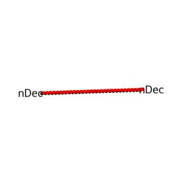 CCCCCCCCCCCCCCCCCCCCCCCCCCCCCCCCCCCCCCCCCCCCCCCCCCCCCCCCCCCCCCCCCCCCCCCCCCCCCCC